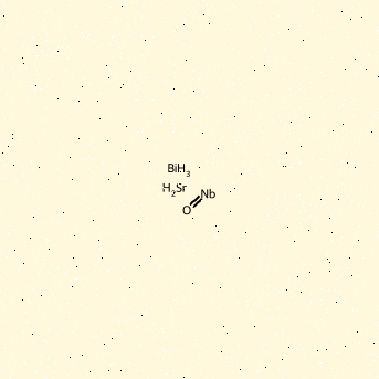 [BiH3].[O]=[Nb].[SrH2]